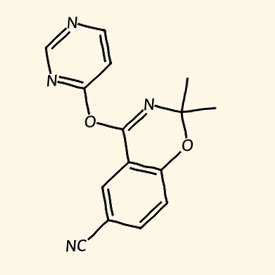 CC1(C)N=C(Oc2ccncn2)c2cc(C#N)ccc2O1